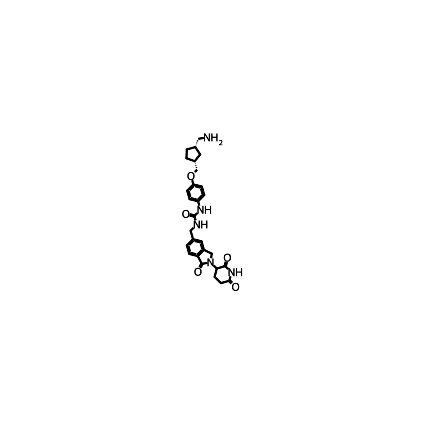 NC[C@H]1CC[C@@H](COc2ccc(NC(=O)NCc3ccc4c(c3)CN(C3CCC(=O)NC3=O)C4=O)cc2)C1